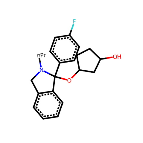 CCCN1Cc2ccccc2C1(OC1CCC(O)C1)c1ccc(F)cc1